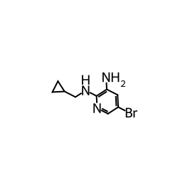 Nc1cc(Br)cnc1NCC1CC1